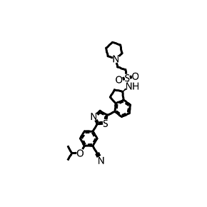 CC(C)Oc1ccc(-c2ncc(-c3cccc4c3CC[C@H]4NS(=O)(=O)CCN3CCCCC3)s2)cc1C#N